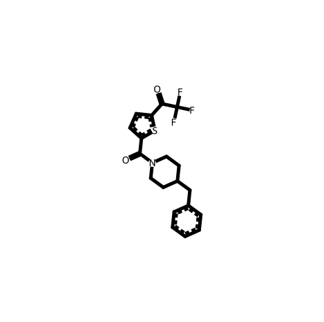 O=C(c1ccc(C(=O)C(F)(F)F)s1)N1CCC(Cc2ccccc2)CC1